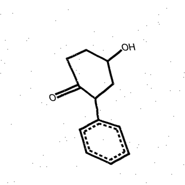 O=C1CCC(O)CC1c1ccccc1